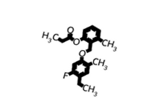 CCC(=O)Oc1cccc(C)c1COc1cc(F)c(CC)cc1C